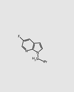 CC(C)[SiH2]n1ccc2cc(F)cnc21